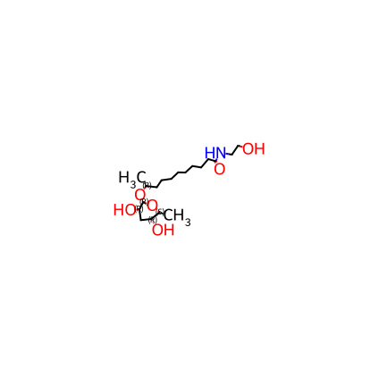 C[C@H](CCCCCCCCC(=O)NCCO)O[C@@H]1O[C@@H](C)[C@H](O)C[C@H]1O